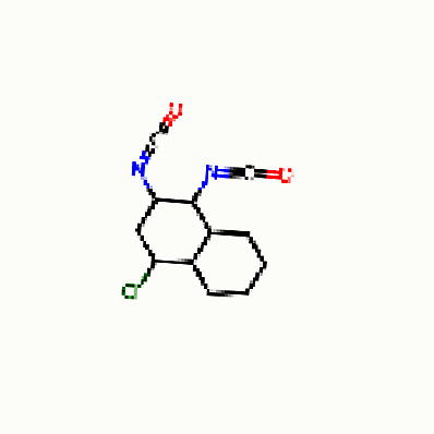 O=C=NC1CC(Cl)C2CCCCC2C1N=C=O